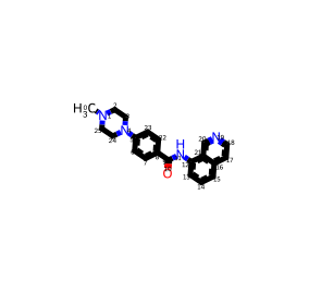 CN1CCN(c2ccc(C(=O)Nc3cccc4ccncc34)cc2)CC1